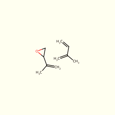 C=C(C)C1CO1.C=CC(=C)C